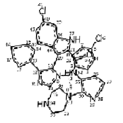 C[C@@H](c1ccc(Cl)cc1)n1cnc(-c2ccccc2)c1-c1c(C(=O)Nc2cccnc2N2CCNCC2)[nH]c2cc(Cl)ccc12